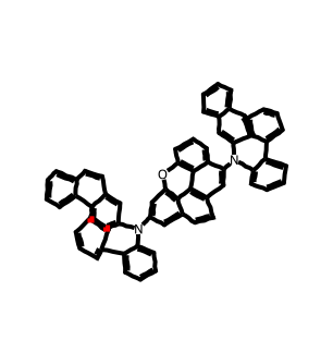 c1ccc(-c2ccccc2N(c2ccc3c(ccc4ccccc43)c2)c2cc3c4c(ccc5cc(N(c6ccc7ccccc7c6)c6ccccc6-c6ccccc6)c6cccc(c6c54)O3)c2)cc1